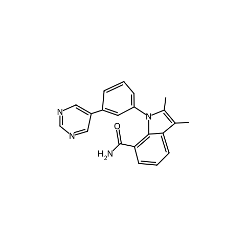 Cc1c(C)n(-c2cccc(-c3cncnc3)c2)c2c(C(N)=O)cccc12